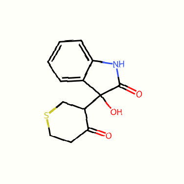 O=C1CCSCC1C1(O)C(=O)Nc2ccccc21